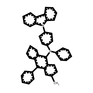 Cc1ccc2c(N(c3ccccc3)c3ccc(-n4c5ccccc5c5ccccc54)cc3)c3ccccc3c(-c3ccccc3)c2c1